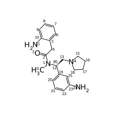 CN(C(=O)Cc1ccccc1N)[C@@H](CN1CCCC1)c1cccc(N)c1